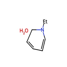 CCN1C=CC=CC1.O